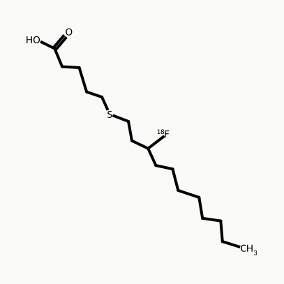 CCCCCCCCC([18F])CCSCCCCC(=O)O